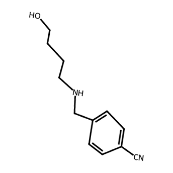 N#Cc1ccc(CNCCCCO)cc1